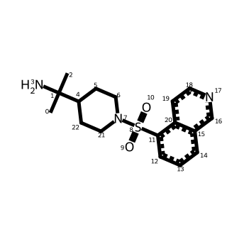 CC(C)(N)C1CCN(S(=O)(=O)c2cccc3cnccc23)CC1